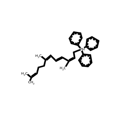 CC(C)=CCCC(C)=CC=CC(C)=CC[PH](c1ccccc1)(c1ccccc1)c1ccccc1